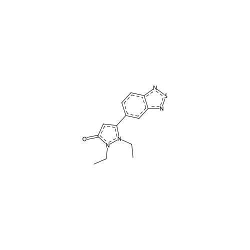 CCn1c(-c2ccc3nsnc3c2)cc(=O)n1CC